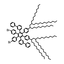 CCCCCCCCCCCCC(CCCCCCCCCC)CC(CCCCCCCCCCC)c1ccc(-c2c(-c3ccc(C(CCCCCCCCCCC)CC(CCCCCCCCCC)CCCCCCCCCCCC)cc3)c(-c3cccc(-c4ccccc4)c3)c(-c3ccc(Br)cc3)c(-c3ccc(Br)cc3)c2-c2cccc(-c3ccccc3)c2)cc1